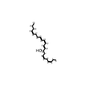 CC/C=C\C/C=C\C[C@H](O)/C=C/C=C\C=C\CC/C=C\CCC